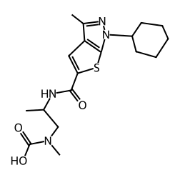 Cc1nn(C2CCCCC2)c2sc(C(=O)NC(C)CN(C)C(=O)O)cc12